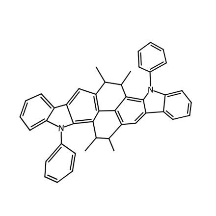 CC1c2cc3c4ccccc4n(-c4ccccc4)c3c3c2-c2c(cc4c5ccccc5n(-c5ccccc5)c4c2C1C)C(C)C3C